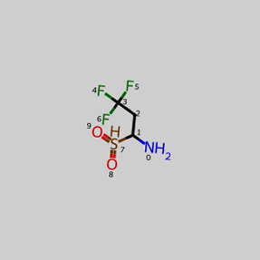 NC(CC(F)(F)F)[SH](=O)=O